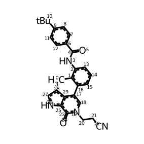 Cc1c(NC(=O)c2ccc(C(C)(C)C)cc2)cccc1-c1cn(CCC#N)c(=O)c2[nH]ccc12